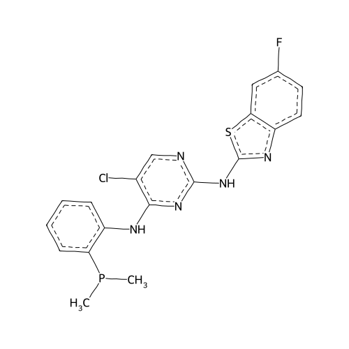 CP(C)c1ccccc1Nc1nc(Nc2nc3ccc(F)cc3s2)ncc1Cl